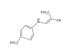 CCOC(=O)/C(C#N)=C\Nc1ccc(C(=O)OCC)cc1